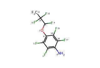 Nc1c(F)c(F)c(OC(F)C(F)(F)C(F)(F)F)c(F)c1F